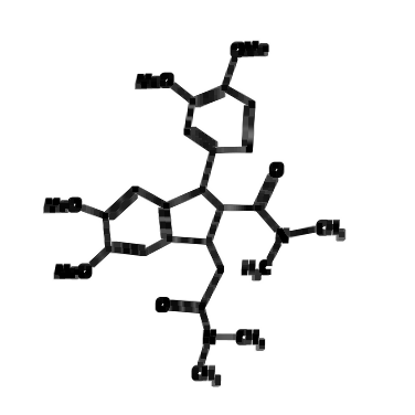 COc1ccc(C2c3cc(OC)c(OC)cc3C(CC(=O)N(C)C)C2C(=O)N(C)C)cc1OC